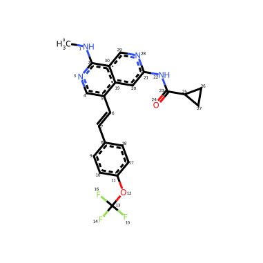 CNc1ncc(/C=C/c2ccc(OC(F)(F)F)cc2)c2cc(NC(=O)C3CC3)ncc12